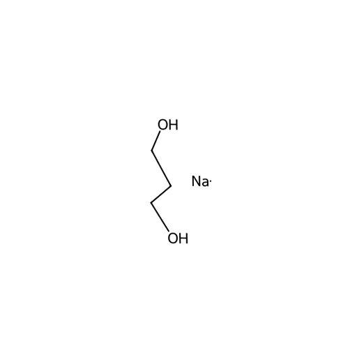 OCCCO.[Na]